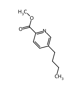 CCCCc1ccc(C(=O)OC)nc1